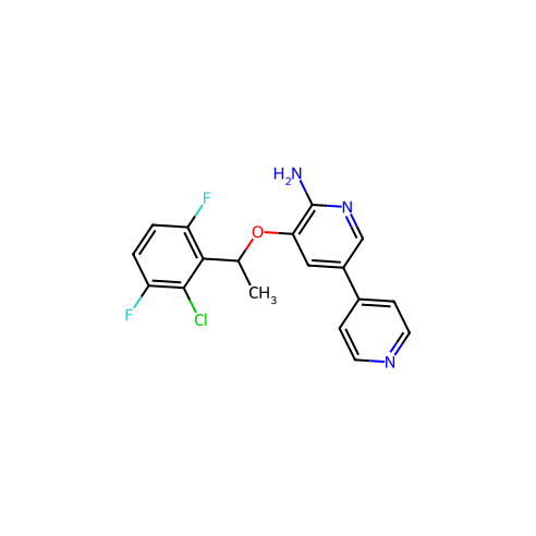 CC(Oc1cc(-c2ccncc2)cnc1N)c1c(F)ccc(F)c1Cl